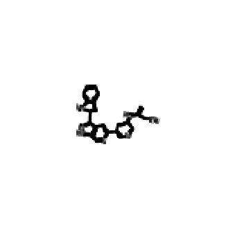 C=C(CC(C)(C)C)Nc1cncc(-c2cc3c(-c4cc5ccccc5[nH]4)n[nH]c3cn2)c1